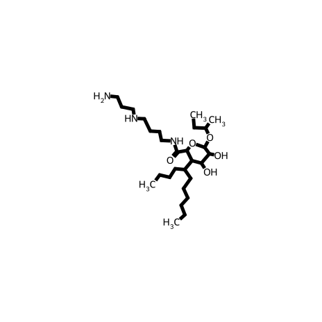 CCCCCCC(CCCC)C1C(C(=O)NCCCCNCCCN)OC(OC(C)CC)C(O)C1O